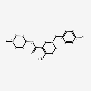 CN1CCC(NC(=O)C2=C(N)CCN(Cc3ccc(Cl)cc3)C2)CC1